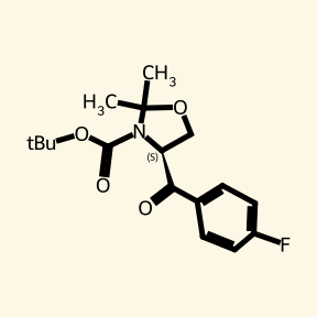 CC(C)(C)OC(=O)N1[C@H](C(=O)c2ccc(F)cc2)COC1(C)C